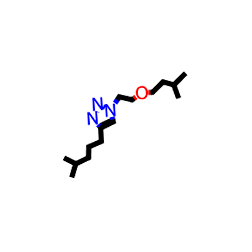 CC(C)CCCc1cn(CCOCCC(C)C)nn1